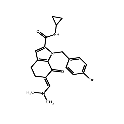 CN(C)/C=C1\CCc2cc(C(=O)NC3CC3)n(Cc3ccc(Br)cc3)c2C1=O